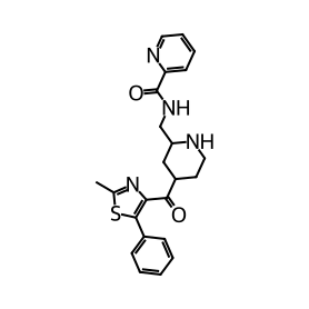 Cc1nc(C(=O)C2CCNC(CNC(=O)c3ccccn3)C2)c(-c2ccccc2)s1